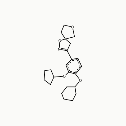 c1cc(OC2CCCCC2)c(OC2CCCC2)cc1C1=NOC2(CCOC2)C1